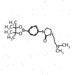 CN(C)CCN1CCN(c2ccc(B3OC(C)(C)C(C)(C)O3)cc2)C1=O